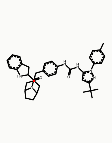 Cc1ccc(-n2nc(C(C)(C)C)cc2NC(=O)Nc2ccc(CC3CC4CCC(C3)N4C(=O)C3Cc4ccccc4N3)cc2)cc1